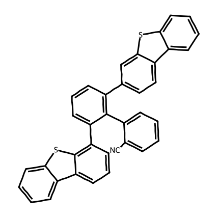 N#Cc1ccccc1-c1c(-c2ccc3c(c2)sc2ccccc23)cccc1-c1cccc2c1sc1ccccc12